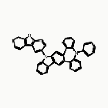 C1=Cc2c(oc3ccc(-n4c5ccccc5c5cc6c(cc54)-c4ccccc4N(c4ccccc4)c4ccccc4-6)cc23)CC1